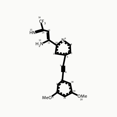 COc1cc(C#Cc2ccnc(/C(N)=C/C(=N)C(F)(F)F)c2)cc(OC)c1